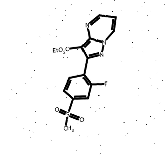 CCOC(=O)c1c(-c2ccc(S(C)(=O)=O)cc2F)nn2cccnc12